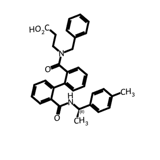 Cc1ccc([C@@H](C)NC(=O)c2ccccc2-c2ccccc2C(=O)N(CCC(=O)O)Cc2ccccc2)cc1